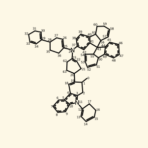 CC1Cc2c(c3ccccc3n2C2=CC=CCC2)C=C1C1CC=C(N(C2=CCC(C3=CCCC=C3)CC2)c2ccc3c(c2)C2(c4ccccc4C4C=CC=CC42)C2C=CCCC32)CC1